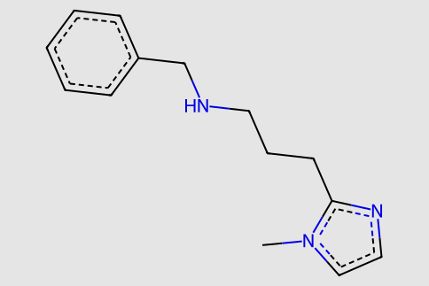 Cn1ccnc1CCCNCc1ccccc1